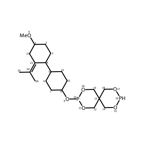 COC1CCC(C2CCC(OP3OCC4(COPOC4)CO3)CC2)C(=C(C)C)C1